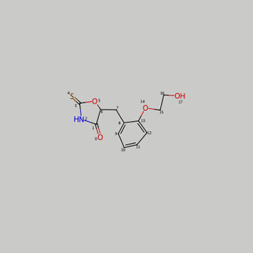 O=C1NC(=S)OC1Cc1ccccc1OCCO